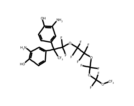 Nc1cc(C(c2ccc(O)c(N)c2)(C(F)(F)F)C(F)(F)OC(F)(F)C(F)(F)OC(F)(F)OC(F)(F)OC(F)(F)F)ccc1O